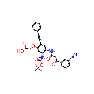 CC(C)(C)OC(=O)Nc1cc(OCC(=O)O)c(C#Cc2ccccc2)cc1NC(=O)CC(=O)c1cccc(C#N)c1